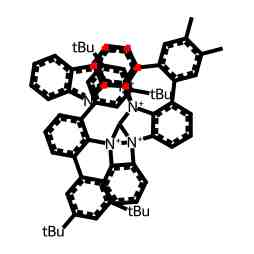 Cc1cc2c(cc1C)-c1ccc3c4ccccc4n4c3c1[N+]1(c3c-2cccc3[N+]23c5ccccc5[N+]2(c2c(-c5cc(C(C)(C)C)cc(C(C)(C)C)c5)cccc2-c2cc(C(C)(C)C)cc(C(C)(C)C)c2)C13)[n+]1ccccc1-4